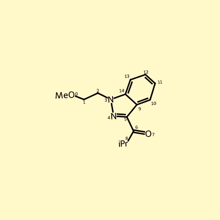 COCCn1nc(C(=O)C(C)C)c2ccccc21